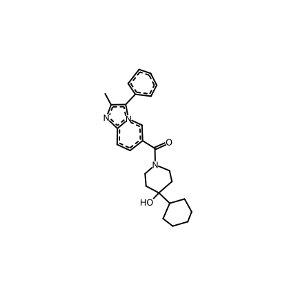 Cc1nc2ccc(C(=O)N3CCC(O)(C4CCCCC4)CC3)cn2c1-c1ccccc1